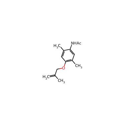 C=C(C)COc1cc(C)c(NC(C)=O)cc1C